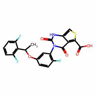 CC(Oc1ccc(F)c(-n2c(=O)[nH]c3csc(C(=O)O)c3c2=O)c1)c1c(F)cccc1F